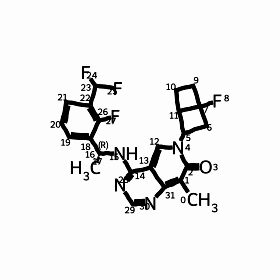 Cc1c(=O)n(C2CC3(F)CCC23)cc2c(N[C@H](C)c3cccc(C(F)F)c3F)ncnc12